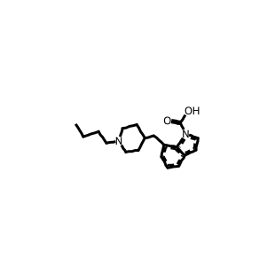 CCCCN1CCC(Cc2cccc3ccn(C(=O)O)c23)CC1